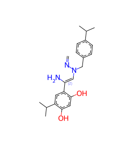 C=NN(/C=C(\N)c1cc(C(C)C)c(O)cc1O)Cc1ccc(C(C)C)cc1